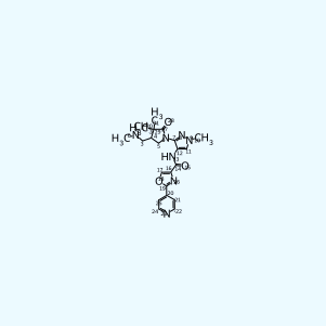 CN(C)CC1CN(c2nn(C)cc2NC(=O)c2coc(-c3c[c]ncc3)n2)C(=O)C1(C)C